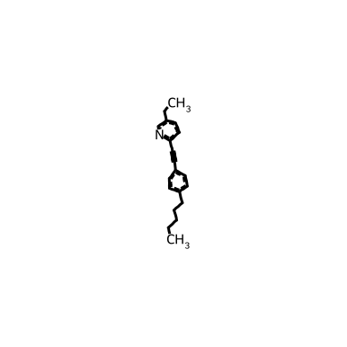 CCCCCc1ccc(C#Cc2ccc(CC)cn2)cc1